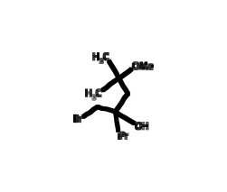 COC(C)(C)CC(O)(CBr)C(C)C